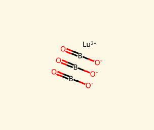 O=B[O-].O=B[O-].O=B[O-].[Lu+3]